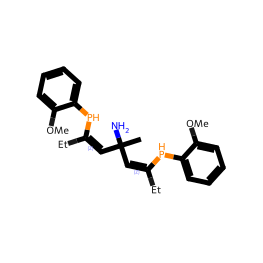 CC/C(=C/C(C)(N)/C=C(/CC)Pc1ccccc1OC)Pc1ccccc1OC